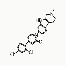 CN1CCC2=C(Bc3cc(-n4ccc(-c5ccc(Cl)cc5Cl)cc4=O)ccc32)C1